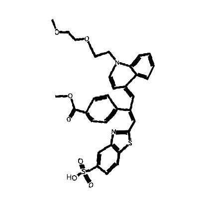 COCCOCCN1C=C/C(=C\C(=C\c2nc3cc(S(=O)(=O)O)ccc3s2)c2ccc(C(=O)OC)cc2)c2ccccc21